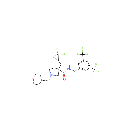 O=C(NCc1cc(C(F)(F)F)cc(C(F)(F)F)c1)C1(CC2CC2(F)F)CCN(CC2CCOCC2)C1